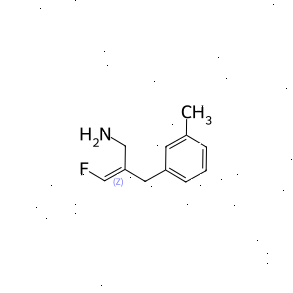 Cc1cccc(C/C(=C/F)CN)c1